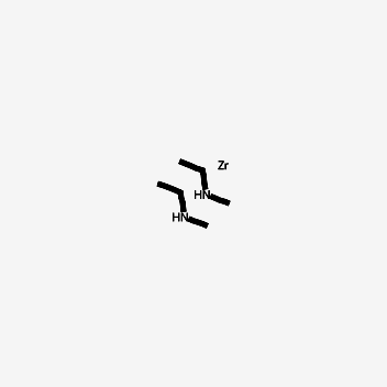 CCNC.CCNC.[Zr]